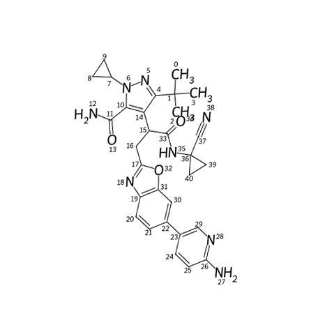 CC(C)(C)c1nn(C2CC2)c(C(N)=O)c1C(Cc1nc2ccc(-c3ccc(N)nc3)cc2o1)C(=O)NC1(C#N)CC1